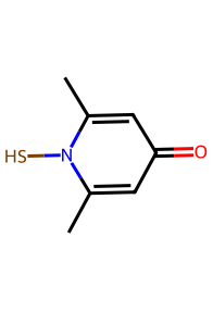 Cc1cc(=O)cc(C)n1S